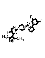 Cc1noc(C)c1-c1nc(N2CCN(C(=O)N3N=CCC3c3cc(F)cc(F)c3)CC2)ncc1F